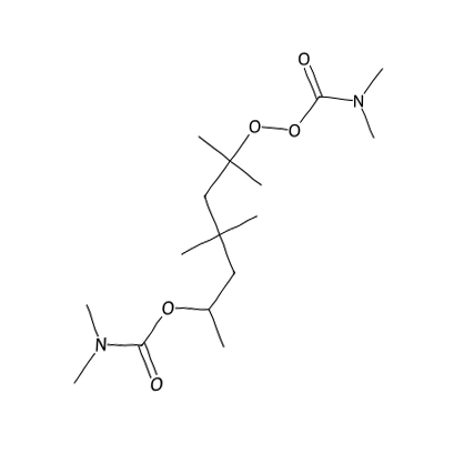 CC(CC(C)(C)CC(C)(C)OOC(=O)N(C)C)OC(=O)N(C)C